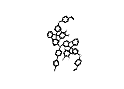 C=Cc1ccc(Oc2ccc(C3(c4c(F)cc(F)c(F)c4F)c4ccccc4-c4ccc(N(c5ccc(-c6ccc(F)cc6)cc5)c5ccc6c(c5)C(c5ccc(Oc7ccc(C=C)cc7)cc5)(c5c(F)cc(F)c(F)c5F)c5ccccc5-6)cc43)cc2)cc1